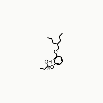 CCCC(CCC)COc1cccc(O[C@H](O)CC)c1